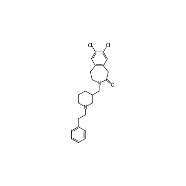 O=C1Cc2cc(Cl)c(Cl)cc2CCN1CC1CCCN(CCc2ccccc2)C1